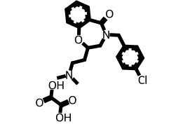 CN(C)CCC1CN(Cc2ccc(Cl)cc2)C(=O)c2ccccc2O1.O=C(O)C(=O)O